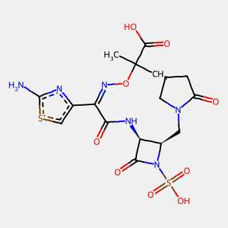 CC(C)(ON=C(C(=O)N[C@@H]1C(=O)N(S(=O)(=O)O)[C@@H]1CN1CCCC1=O)c1csc(N)n1)C(=O)O